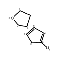 C1CCOC1.[Li][C]1=CC=CC1